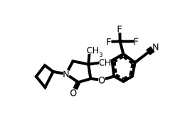 CC1(C)CN(C2CCC2)C(=O)C1Oc1ccc(C#N)c(C(F)(F)F)c1